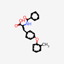 Cc1ccccc1Oc1ccc(C=C(NC(=O)c2ccccc2)C(=O)O)cc1